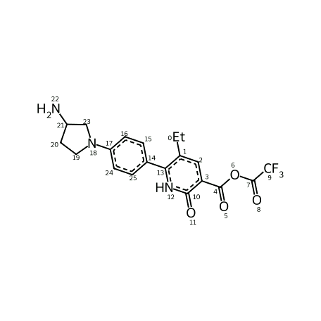 CCc1cc(C(=O)OC(=O)C(F)(F)F)c(=O)[nH]c1-c1ccc(N2CCC(N)C2)cc1